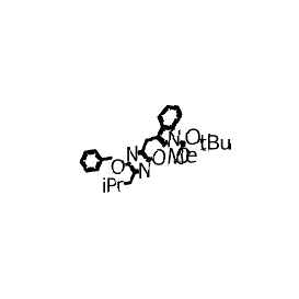 COc1nc(CC(C)C)c(OCc2ccccc2)nc1Cc1cn(C(=O)OC(C)(C)C)c2ccccc12